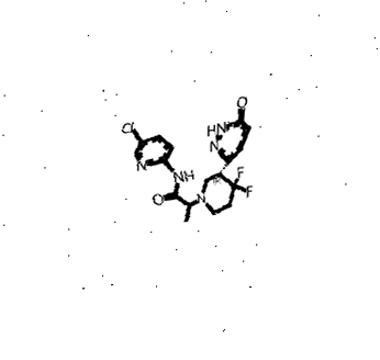 CC(C(=O)Nc1ccc(Cl)cn1)N1CCC(F)(F)[C@@H](c2ccc(=O)[nH]n2)C1